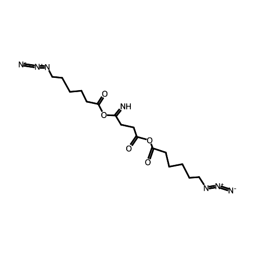 [N-]=[N+]=NCCCCCC(=O)OC(=N)CCC(=O)OC(=O)CCCCCN=[N+]=[N-]